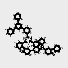 c1ccc(-c2cc(-c3ccccc3)cc(-c3cccc(-c4nc(-c5ccccc5)nc(-c5cccc6sc7ccc(-c8ccc9c(c8)c8ccccc8n9-c8ccc9sc%10ccccc%10c9c8)cc7c56)n4)c3)c2)cc1